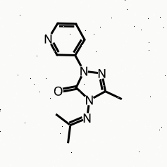 CC(C)=Nn1c(C)nn(-c2cccnc2)c1=O